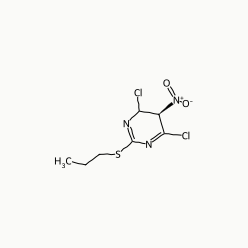 CCCSC1=NC(Cl)[C@@H]([N+](=O)[O-])C(Cl)=N1